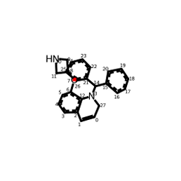 C1=Cc2cccc(OC3CNC3)c2N(C(c2ccccc2)c2ccccc2)C1